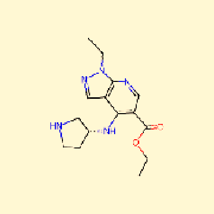 CCOC(=O)c1cnc2c(cnn2CC)c1N[C@@H]1CCNC1